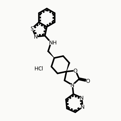 Cl.O=C1O[C@]2(CC[C@H](CNc3nsc4ccccc34)CC2)CN1c1cccnn1